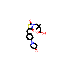 CC(C)(CC(=O)O)CN1C(=O)SC(Cc2ccc(N3CCC(=O)CC3)cc2)C1=O